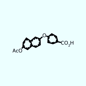 CC(=O)Oc1ccc2cc(Oc3ccc(C(=O)O)cc3)ccc2c1